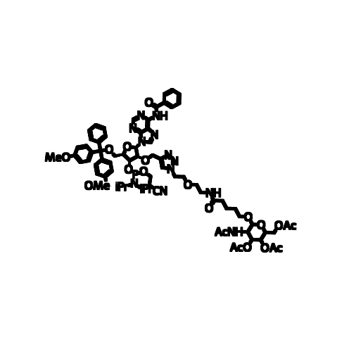 COc1ccc(C(OC[C@H]2O[C@@H](n3cnc4c(NC(=O)c5ccccc5)ncnc43)[C@H](OCc3cn(CCOCCNC(=O)CCCCOC4OC(COC(C)=O)C(OC(C)=O)C(OC(C)=O)C4NC(C)=O)nn3)[C@@H]2OP(OCCC#N)N(C(C)C)C(C)C)(c2ccccc2)c2ccc(OC)cc2)cc1